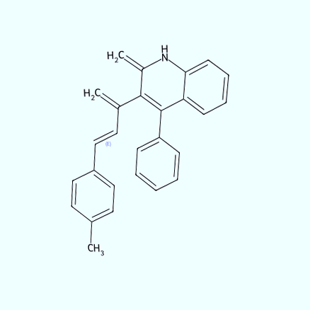 C=C(/C=C/c1ccc(C)cc1)C1=C(c2ccccc2)c2ccccc2NC1=C